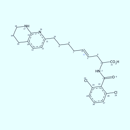 O=C(NC(C/C=C/CCCCc1ccc2c(n1)NCCC2)C(=O)O)c1c(Cl)cccc1Cl